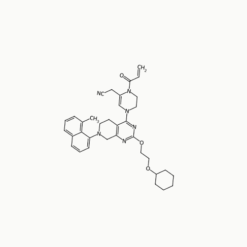 C=CC(=O)N1CCN(c2nc(OCCOC3CCCCC3)nc3c2CCN(c2cccc4cccc(C)c24)C3)C=C1CC#N